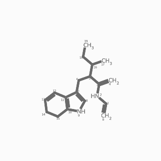 C=CNC(=C)C(Cc1c[nH]c2c1C=CCC2)C(C)CC